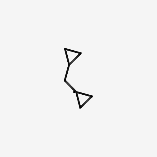 C1C[C]1CC1CC1